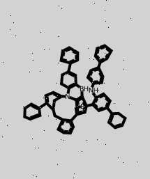 CCc1c2cc(-c3cc(C4=CC=CCC4)ccc3Nc3ccc(-c4ccccc4)cc3)c3c1N(C1=CC=C(C4=CCCC=C4)C(C1)Cc1ccccc1-2)C1=C(B3)C=C(c2ccccc2)CC1